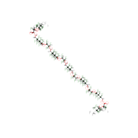 O=C(OCC(F)(F)C(F)(F)C(F)(F)OC(F)C(F)(F)OCC(F)(F)C(F)(F)C(F)(F)OC(F)C(F)(F)OCC(F)(F)C(F)(F)COC(F)(F)C(F)OC(F)(F)C(F)(F)C(F)(F)COC(F)(F)C(F)OC(F)(F)C(F)(F)C(F)(F)COC(=O)C(F)(OC(F)(F)C(F)(F)C(F)(F)F)C(F)(F)F)C(F)(OC(F)(F)C(F)(F)C(F)(F)F)C(F)(F)F